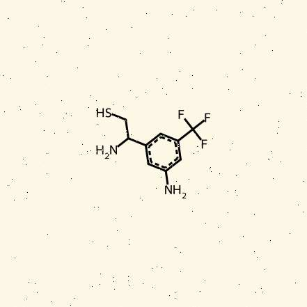 Nc1cc(C(N)CS)cc(C(F)(F)F)c1